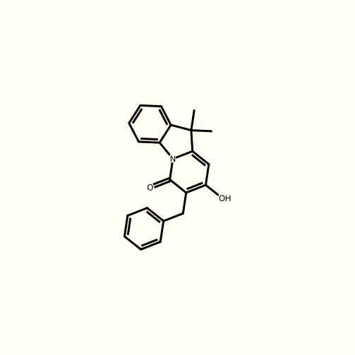 CC1(C)c2ccccc2-n2c1cc(O)c(Cc1ccccc1)c2=O